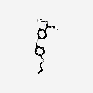 C=CCSc1ccc(Oc2ccc(/C(N)=N\O)cc2)cc1